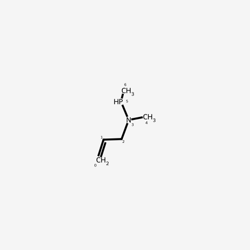 C=CCN(C)PC